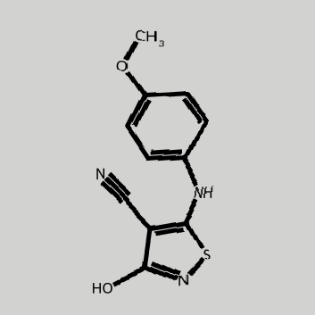 COc1ccc(Nc2snc(O)c2C#N)cc1